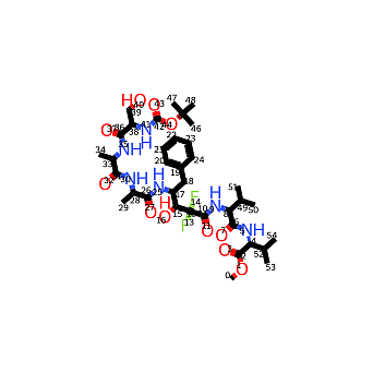 COC(=O)[C@@H](NC(=O)C(NC(=O)C(F)(F)C(O)C(Cc1ccccc1)NC(=O)C(C)NC(=O)C(C)NC(=O)C(CO)NC(=O)OC(C)(C)C)C(C)C)C(C)C